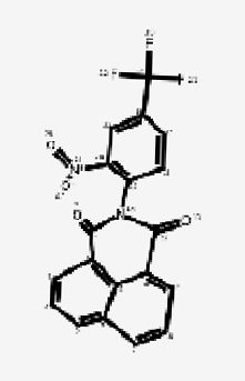 O=C1c2cccc3cccc(c23)C(=O)N1c1ccc(C(F)(F)F)cc1[N+](=O)[O-]